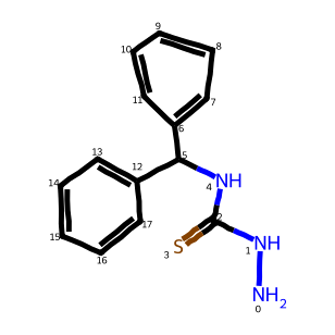 NNC(=S)NC(c1ccccc1)c1ccccc1